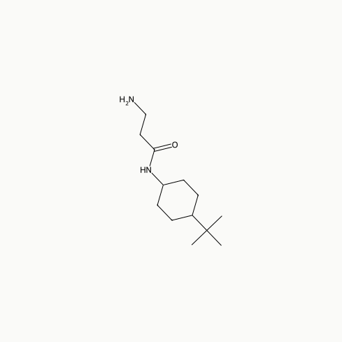 CC(C)(C)C1CCC(NC(=O)CCN)CC1